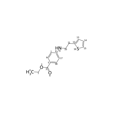 CCOC(=O)c1ccc(NCCc2cccs2)cc1